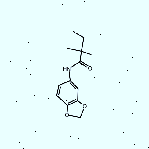 CCC(C)(C)C(=O)Nc1ccc2c(c1)OCO2